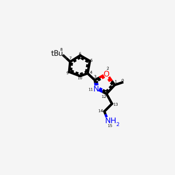 Cc1oc(-c2ccc(C(C)(C)C)cc2)nc1CCN